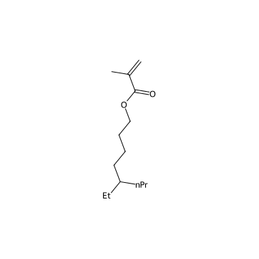 C=C(C)C(=O)OCCCCC(CC)CCC